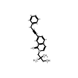 CC(C)(CO)Cn1ccc2ccc(C#CCc3ccccc3)cc2c1=O